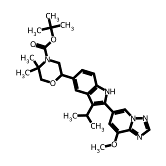 COc1cc(-c2[nH]c3ccc(C4CN(C(=O)OC(C)(C)C)C(C)(C)CO4)cc3c2C(C)C)cn2ncnc12